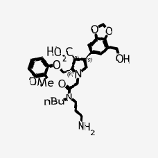 CCCCN(CCCN)C(=O)CN1C[C@H](c2cc(CO)c3c(c2)OCO3)[C@@H](C(=O)O)[C@@H]1COc1ccccc1OC